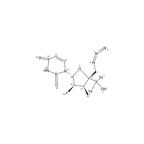 [2H]C([2H])(O)[C@@]1(CN=[N+]=[N-])O[C@@H](n2ccc(=O)[nH]c2=O)[C@H](F)[C@@H]1C